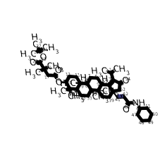 CC(C)C1=C2[C@H]3CC[C@@H]4[C@@]5(C)CC[C@H](OC(=O)CC(C)(C)C(=O)OC(C)(C)C)C(C)(C)[C@@H]5CC[C@@]4(C)[C@]3(C)CC[C@@]2(/C=C/C(=O)NC2CCCCC2)CC1=O